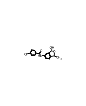 CC1OB(O)c2cc(NC(=O)c3ccc(Cl)cc3)ccc21